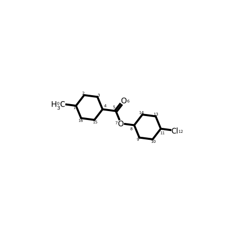 CC1CCC(C(=O)OC2CCC(Cl)CC2)CC1